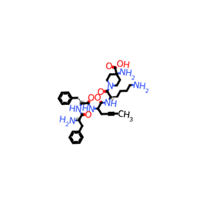 CC#CCC(NC(=O)[C@@H](Cc1ccccc1)NC(=O)[C@H](N)Cc1ccccc1)C(=O)N[C@H](CCCCN)C(=O)N1CCC(N)(C(=O)O)CC1